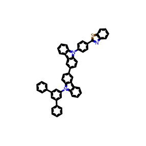 c1ccc(-c2cc(-c3ccccc3)cc(-n3c4ccccc4c4cc(-c5ccc6c(c5)c5ccccc5n6-c5ccc(-c6nc7ccccc7s6)cc5)ccc43)c2)cc1